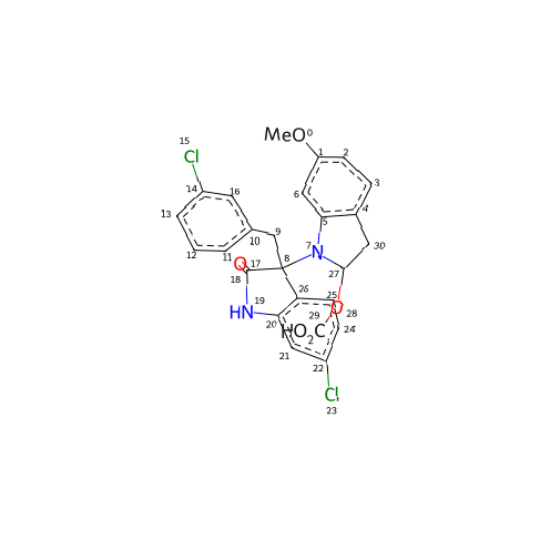 COc1ccc2c(c1)N(C1(Cc3cccc(Cl)c3)C(=O)Nc3cc(Cl)ccc31)C(OC(=O)O)C2